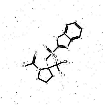 CC(C)(C)[C@@]1(CS(=O)(=O)c2nc3ccccc3s2)CCCN1C(=O)O